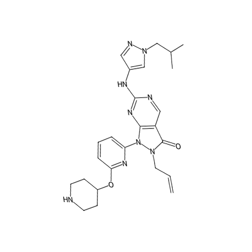 C=CCn1c(=O)c2cnc(Nc3cnn(CC(C)C)c3)nc2n1-c1cccc(OC2CCNCC2)n1